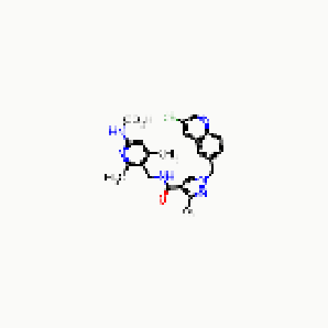 CC(=O)c1nn(Cc2ccc3ncc(Cl)cc3c2)cc1C(=O)NCc1c(C)cc(NC(=O)O)nc1C